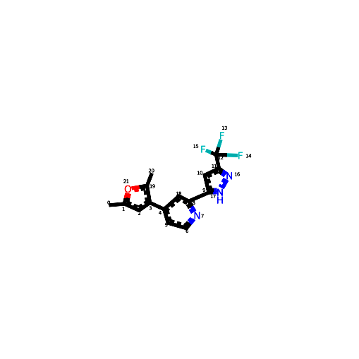 Cc1cc(-c2ccnc(-c3cc(C(F)(F)F)n[nH]3)c2)c(C)o1